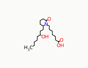 CCCCCC(O)CCC1CCCC(=O)N1CCCCCCC(=O)O